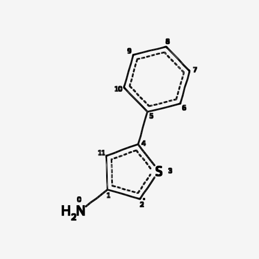 Nc1[c]sc(-c2ccccc2)c1